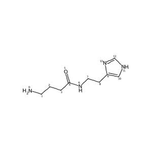 NCCCC(=O)NCCc1c[nH]cn1